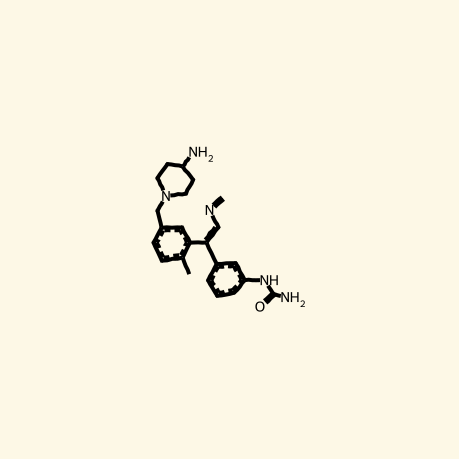 C=N/C=C(/c1cccc(NC(N)=O)c1)c1cc(CN2CCC(N)CC2)ccc1C